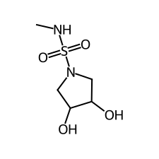 CNS(=O)(=O)N1CC(O)C(O)C1